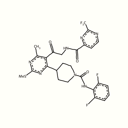 CSc1nc(C)c(C(=O)CNC(=O)c2ccnc(C(F)(F)F)n2)c(C2CCN(C(=O)Nc3c(F)cccc3F)CC2)n1